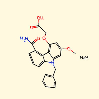 COc1cc(OCC(=O)O)c2c3c(C(N)=O)cccc3n(Cc3ccccc3)c2c1.[NaH]